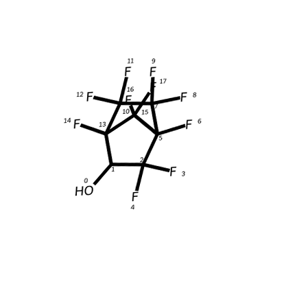 OC1C(F)(F)C2(F)C(F)(F)C(F)(F)C1(F)C2(F)F